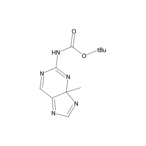 CC(C)(C)OC(=O)NC1=NC2(C)N=CN=C2C=N1